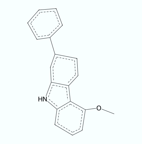 COc1cccc2[nH]c3cc(-c4ccccc4)ccc3c12